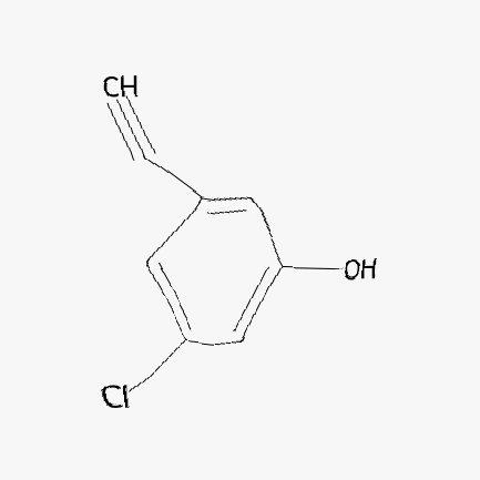 C#Cc1cc(O)cc(Cl)c1